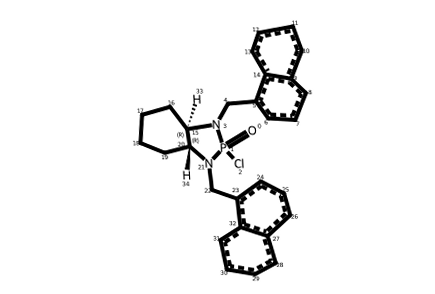 O=P1(Cl)N(Cc2cccc3ccccc23)[C@@H]2CCCC[C@H]2N1Cc1cccc2ccccc12